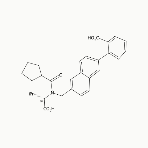 CC(C)[C@@H](C(=O)O)N(Cc1ccc2cc(-c3ccccc3C(=O)O)ccc2c1)C(=O)C1CCCC1